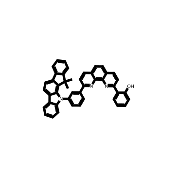 CC1(C)c2ccccc2-c2ccc3c4ccccc4n(-c4cccc(-c5ccc6ccc7ccc(-c8ccccc8O)nc7c6n5)c4)c3c21